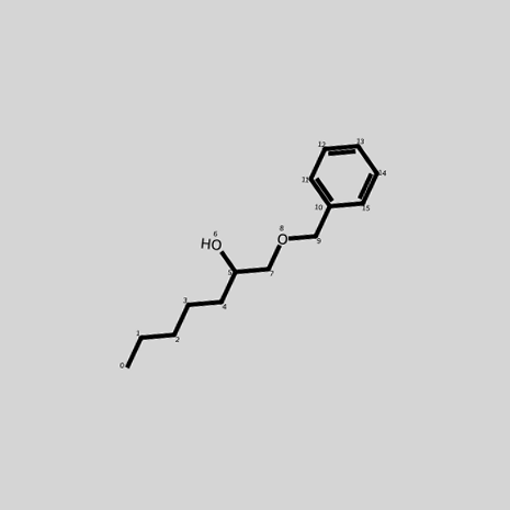 CCCCCC(O)COCc1ccccc1